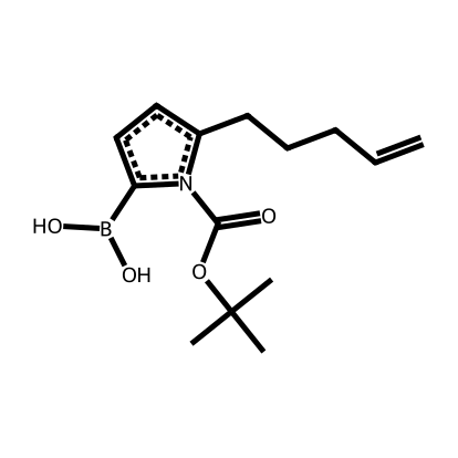 C=CCCCc1ccc(B(O)O)n1C(=O)OC(C)(C)C